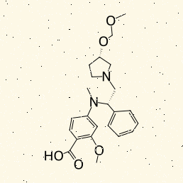 COCO[C@H]1CCN(C[C@H](c2ccccc2)N(C)c2ccc(C(=O)O)c(OC)c2)C1